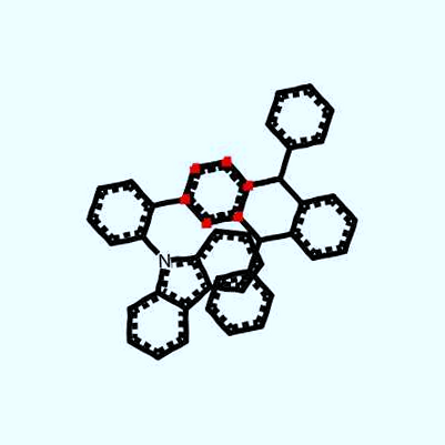 c1ccc(C23c4ccccc4C(c4ccccc4)(c4ccccc42)c2cc(-c4ccccc4-n4c5ccccc5c5ccccc54)ccc23)cc1